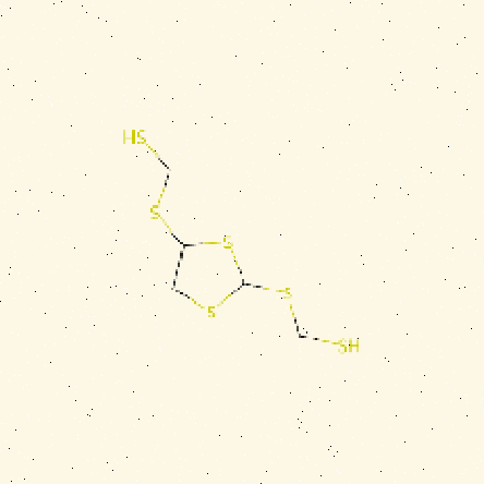 SCSC1CSC(SCS)S1